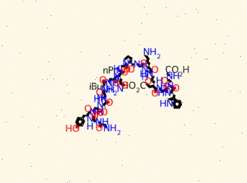 CCCN(CC(=O)N1CCC[C@H]1C(=O)NCC(=O)N[C@@H](CCCCN)C(=O)NCC(=O)C[C@@H](CCC(=O)O)C(=O)NCC(=O)N[C@@H](Cc1c[nH]c2ccccc12)C(=O)NCC(=O)NCC(=O)O)C(=O)[C@H](CCC(N)=O)NC(=O)CNC(=O)[C@@H](NC(=O)CNC(=O)[C@H](CO)NC(=O)CNC(=O)[C@H](Cc1ccc(O)cc1)NC(=O)CNC(=O)CN)[C@@H](C)CC